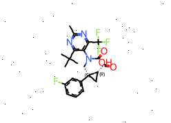 Cc1nc(C(C)(C)C)c(N(C[C@@]2(c3cccc(F)c3)C[C@H]2C=O)C(=O)O)c(C(F)(F)F)n1